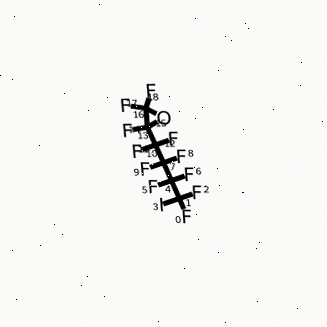 FC(F)(I)C(F)(F)C(F)(F)C(F)(F)C1(F)OC1(F)F